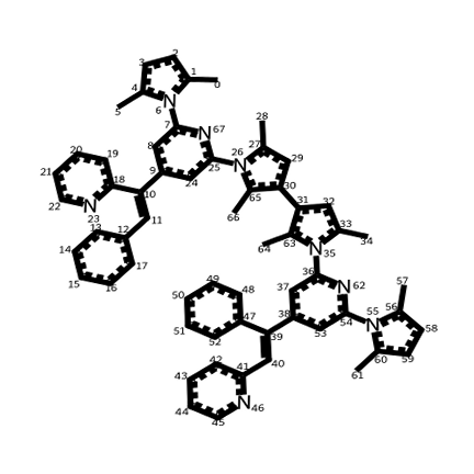 Cc1ccc(C)n1-c1cc(/C(=C/c2ccccc2)c2ccccn2)cc(-n2c(C)cc(-c3cc(C)n(-c4cc(/C(=C/c5ccccn5)c5ccccc5)cc(-n5c(C)ccc5C)n4)c3C)c2C)n1